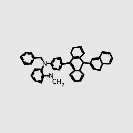 C=Nc1ccccc1N(Cc1ccccc1)c1ccc(C2=C3C=CC=CC3C(C3=CCC4C=CC=CC4=C3)C3=C2CCC=C3)cc1